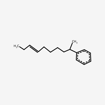 CCC=CCCCCC(C)c1ccccc1